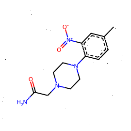 Cc1ccc(N2CCN(CC(N)=O)CC2)c([N+](=O)[O-])c1